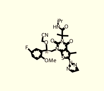 COc1ccc(F)cc1[C@H](Cn1c(=O)n(C(C)(C)C(=O)NC(C)C)c(=O)c2c(C)c(-n3nccn3)sc21)OCC#N